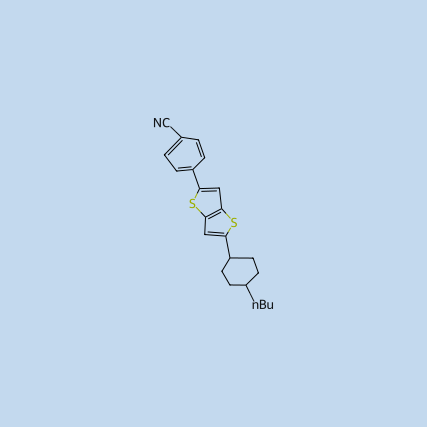 CCCCC1CCC(c2cc3sc(-c4ccc(C#N)cc4)cc3s2)CC1